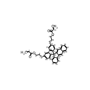 C=CC(=O)OCCSc1ccc(C2(c3ccc(SCCOC(=O)C=C)cc3)c3ccccc3-c3cc4ccccc4cc32)cc1